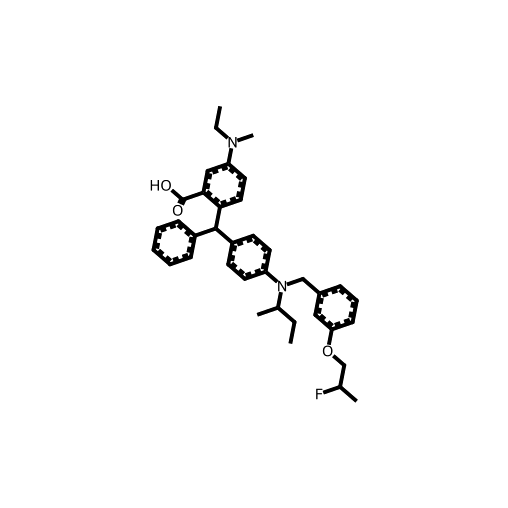 CCC(C)N(Cc1cccc(OCC(C)F)c1)c1ccc(C(c2ccccc2)c2ccc(N(C)CC)cc2C(=O)O)cc1